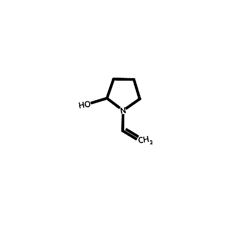 C=CN1CCCC1O